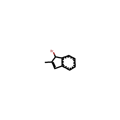 CC1=Cc2ccccc2C1Br